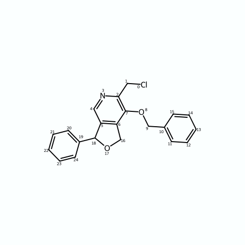 ClCc1ncc2c(c1OCc1ccccc1)COC2c1ccccc1